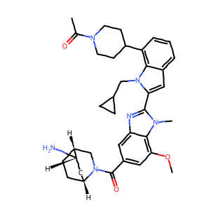 COc1cc(C(=O)N2C[C@H]3CC[C@@H]2C[C@@H]3N)cc2nc(-c3cc4cccc(C5CCN(C(C)=O)CC5)c4n3CC3CC3)n(C)c12